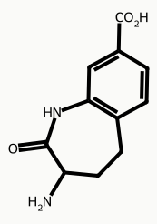 NC1CCc2ccc(C(=O)O)cc2NC1=O